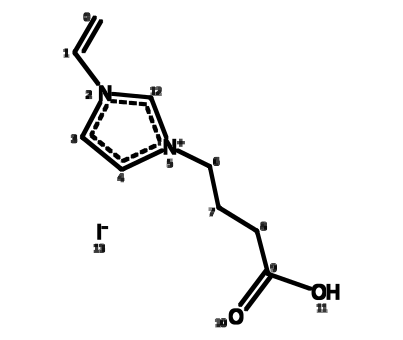 C=Cn1cc[n+](CCCC(=O)O)c1.[I-]